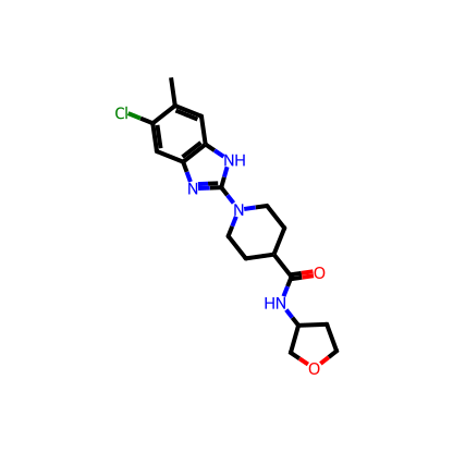 Cc1cc2[nH]c(N3CCC(C(=O)NC4CCOC4)CC3)nc2cc1Cl